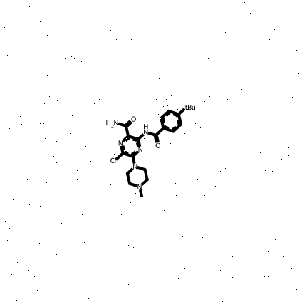 CN1CCN(c2nc(NC(=O)c3ccc(C(C)(C)C)cc3)c(C(N)=O)nc2Cl)CC1